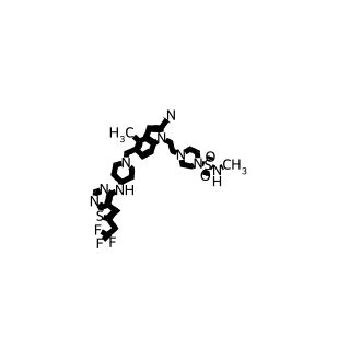 CNS(=O)(=O)N1CCN(CCn2c(C#N)cc3c(C)c(CN4CCC(Nc5ncnc6sc(CC(F)(F)F)cc56)CC4)ccc32)CC1